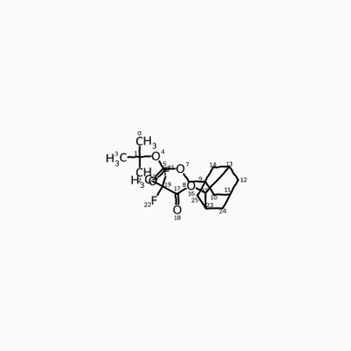 CC(C)(C)OC(=O)OCC12CC3CC(C1)C(OC(=O)C(C)(F)F)C(C3)C2